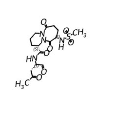 CC(=O)C[C@@H](C=O)NC(=O)[C@@H]1CCCN2C(=O)CC[C@H](NS(C)(=O)=O)C(=O)N12